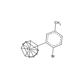 Cc1ccc(Br)c([C]23[CH]4[CH]5[CH]6[CH]2[Fe]56432789[CH]3[CH]2[CH]7[CH]8[CH]39)c1